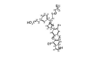 CCc1c(Oc2ccc(F)c(-c3ccn(C(CCOCC(C)(C)CC)c4cccc(CCC(=O)O)c4)n3)c2)c(F)cc2[nH]ccc12